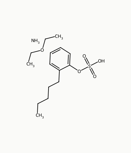 CCCCCc1ccccc1OS(=O)(=O)O.CCOCC.N